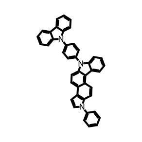 c1ccc(-n2ccc3c4ccc5c(c4ccc32)c2ccccc2n5-c2ccc(-n3c4ccccc4c4ccccc43)cc2)cc1